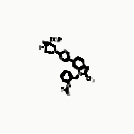 Cc1nc2ccc(-c3cnc(N4CC[C@H]5C[C@@]5(C(=O)O)C4)nc3)cc2n1Cc1ccccc1OC(F)F